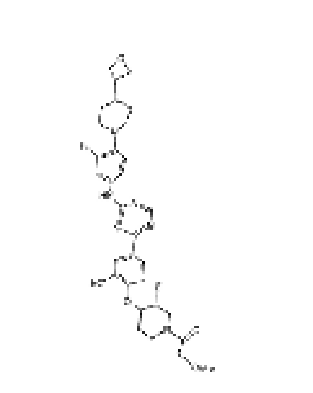 COCC(=O)N1CCC(Oc2ccc(-c3ncnc(Nc4ccc(N5CCN(C6COC6)CC5)c(F)c4)n3)cc2C#N)[C@H](F)C1